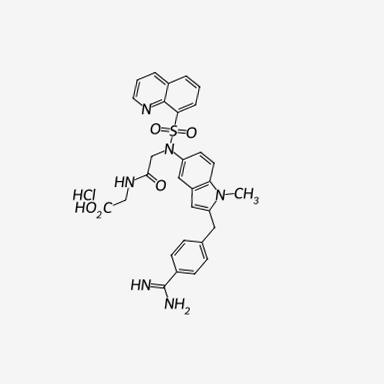 Cl.Cn1c(Cc2ccc(C(=N)N)cc2)cc2cc(N(CC(=O)NCC(=O)O)S(=O)(=O)c3cccc4cccnc34)ccc21